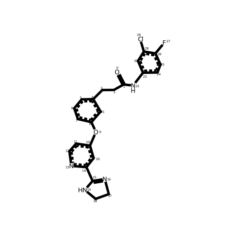 O=C(CCc1cccc(Oc2ccnc(C3=NCCN3)c2)c1)Nc1ccc(F)c(Cl)c1